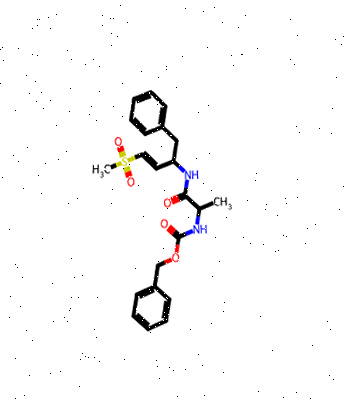 CC(NC(=O)OCc1ccccc1)C(=O)NC(/C=C/S(C)(=O)=O)Cc1ccccc1